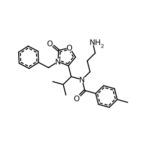 Cc1ccc(C(=O)N(CCCN)C(c2coc(=O)n2Cc2ccccc2)C(C)C)cc1